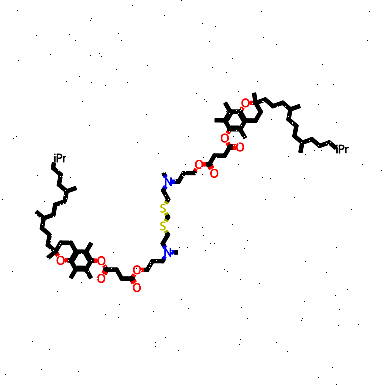 Cc1c(C)c2c(c(C)c1OC(=O)CCC(=O)OCCCN(C)CCSCSCCN(C)CCCOC(=O)CCC(=O)Oc1c(C)c(C)c3c(c1C)CCC(C)(CCCC(C)CCCC(C)CCCC(C)C)O3)CCC(C)(CCCC(C)CCCC(C)CCCC(C)C)O2